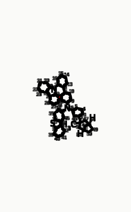 CC1(c2cccc(N(c3ccc(-c4ccccc4-n4c5ccccc5c5ccccc54)cc3)c3ccc4sc5ccccc5c4c3)c2)C[C@@H]2CC[C@H](C2)C1